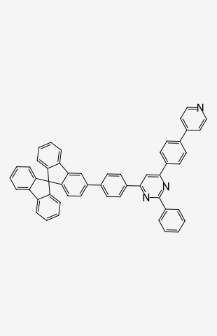 c1ccc(-c2nc(-c3ccc(-c4ccncc4)cc3)cc(-c3ccc(-c4ccc5c(c4)-c4ccccc4C54c5ccccc5-c5ccccc54)cc3)n2)cc1